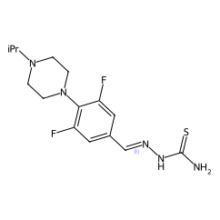 CC(C)N1CCN(c2c(F)cc(/C=N/NC(N)=S)cc2F)CC1